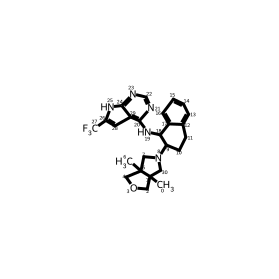 CC12COCC1(C)CN(C1CCc3ccccc3C1Nc1ncnc3[nH]c(C(F)(F)F)cc13)C2